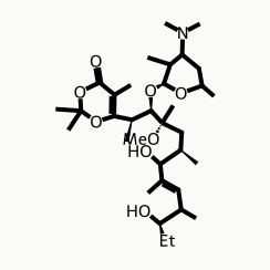 CC[C@@H](O)C(C)/C=C(\C)C(O)[C@H](C)C[C@@](C)(OC)[C@H](O[C@@H]1OC(C)CC(N(C)C)C1C)[C@@H](C)C1=C(C)C(=O)OC(C)(C)O1